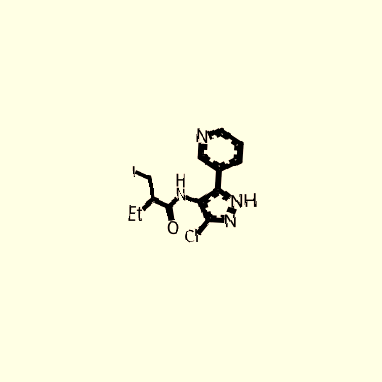 CCC(CI)C(=O)Nc1c(Cl)n[nH]c1-c1cccnc1